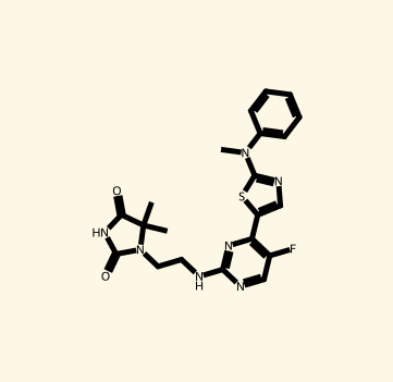 CN(c1ccccc1)c1ncc(-c2nc(NCCN3C(=O)NC(=O)C3(C)C)ncc2F)s1